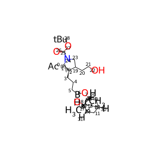 CC(=O)[C@H]1[C@H](CCCB2O[C@@H]3C[C@@H]4C[C@@H](C4(C)C)[C@]3(C)O2)C(CCO)CN1C(=O)OC(C)(C)C